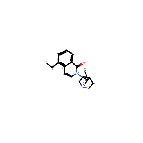 CCc1cccc2c(=O)n([C@H]3CN4CCC3CC4)ccc12